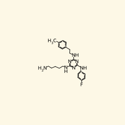 Cc1ccc(CCNc2nc(NCCCCCN)nc(Nc3ccc(F)cc3)n2)cc1